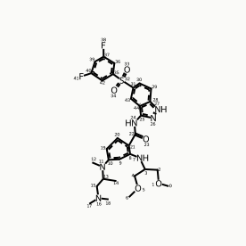 COCC(COC)Nc1cc(N(C)C(C)CN(C)C)ccc1C(=O)Nc1n[nH]c2ccc(S(=O)(=O)c3cc(F)cc(F)c3)cc12